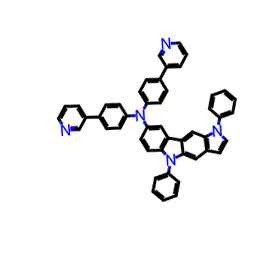 c1ccc(-n2ccc3cc4c(cc32)c2cc(N(c3ccc(-c5cccnc5)cc3)c3ccc(-c5cccnc5)cc3)ccc2n4-c2ccccc2)cc1